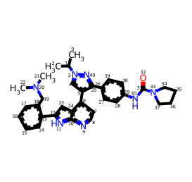 CC(C)n1cc(-c2ccnc3[nH]c(-c4ccccc4CN(C)C)cc23)c(-c2ccc(NC(=O)N3CCCC3)cc2)n1